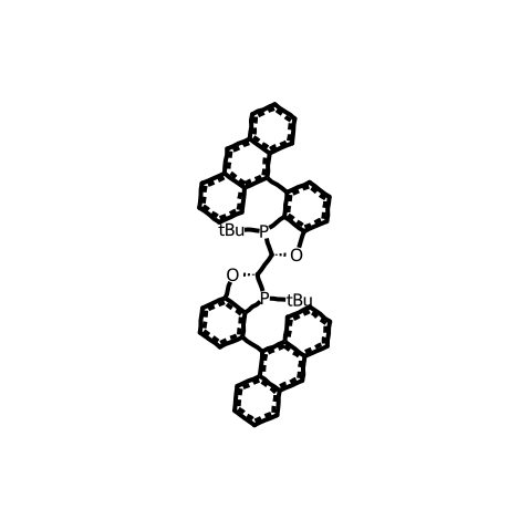 CC(C)(C)P1c2c(cccc2-c2c3ccccc3cc3ccccc23)O[C@@H]1[C@H]1Oc2cccc(-c3c4ccccc4cc4ccccc34)c2P1C(C)(C)C